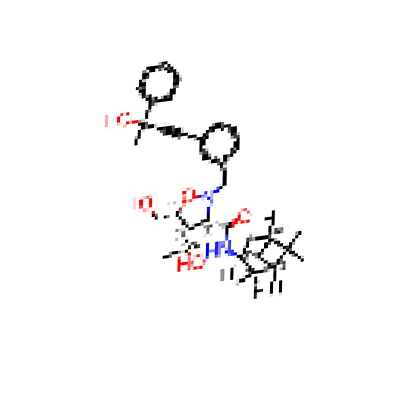 C[C@@H]1[C@@H](NC(=O)[C@@H]2[C@H]([C@H](C)O)[C@H](CO)ON2Cc2cccc(C#CC(C)(O)c3ccccc3)c2)C[C@H]2C[C@@H]1C2(C)C